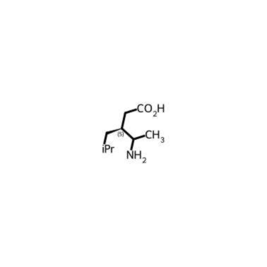 CC(C)C[C@@H](CC(=O)O)C(C)N